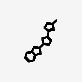 Cc1csc(-c2ccc(-c3cc4ccccc4s3)s2)n1